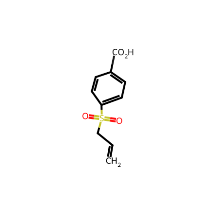 C=CCS(=O)(=O)c1ccc(C(=O)O)cc1